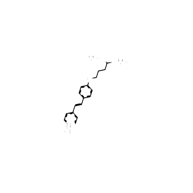 COC(CCCOc1ccc(C=Cc2cc[n+](C)cc2)cc1)OC